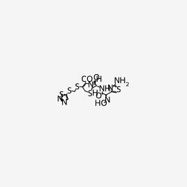 Nc1nc(/C(=N/O)C(=O)N[C@@H]2C(=O)N3C(C(=O)O)=C(SCSc4cnns4)CS[C@H]23)cs1